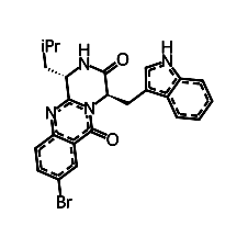 CC(C)C[C@@H]1NC(=O)[C@@H](Cc2c[nH]c3ccccc23)n2c1nc1ccc(Br)cc1c2=O